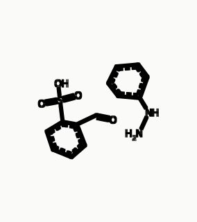 NNc1ccccc1.O=Cc1ccccc1S(=O)(=O)O